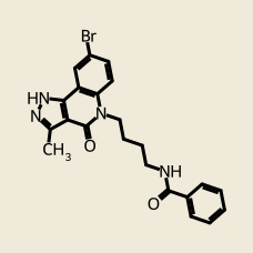 Cc1n[nH]c2c1c(=O)n(CCCCNC(=O)c1ccccc1)c1ccc(Br)cc21